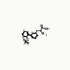 NC(Cc1cccc(-c2ccccc2OC(F)(F)F)c1)C(=O)O